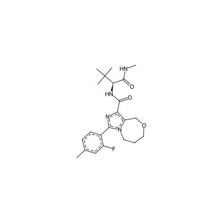 CNC(=O)[C@@H](NC(=O)c1nc(-c2ccc(C)cc2F)n2c1COCCC2)C(C)(C)C